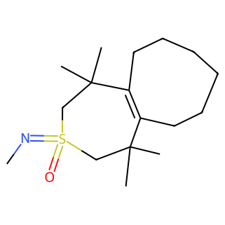 CN=S1(=O)CC(C)(C)C2=C(CCCCCC2)C(C)(C)C1